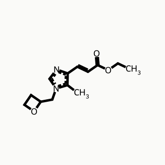 CCOC(=O)C=Cc1ncn(CC2CCO2)c1C